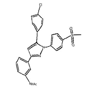 CC(=O)Nc1cccc(-c2cc(-c3ccc(Cl)cc3)n(-c3ccc(S(C)(=O)=O)cc3)n2)c1